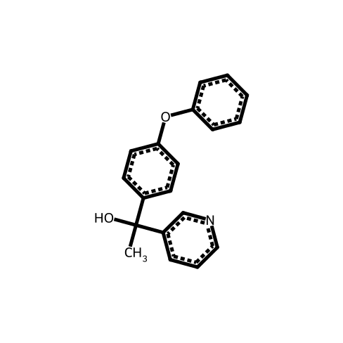 CC(O)(c1ccc(Oc2ccccc2)cc1)c1cccnc1